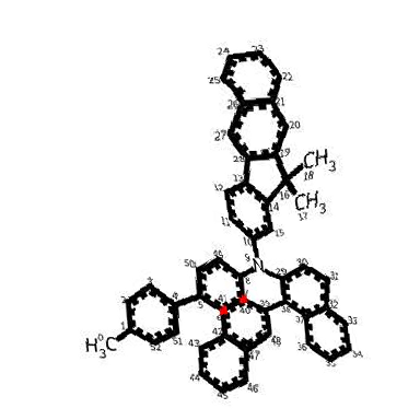 Cc1ccc(-c2ccc(N(c3ccc4c(c3)C(C)(C)c3cc5ccccc5cc3-4)c3ccc4ccccc4c3-c3ccc4ccccc4c3)cc2)cc1